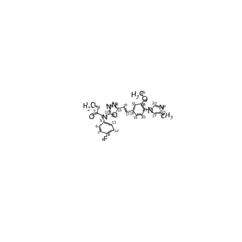 C=CC(=O)N(c1ccc(F)cc1)c1nnc(C=Cc2ccc(-n3cnc(C)c3)c(OC)c2)o1